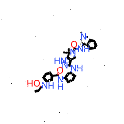 C=CC(O)Nc1cccc(C(=O)Nc2cccc(Nc3n[nH]c4c3CN(C(=O)N[C@H](CN(C)C)c3ccccc3)C4(C)C)c2)c1